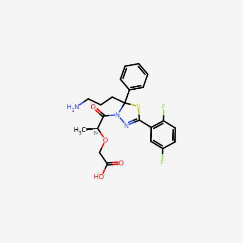 C[C@H](OCC(=O)O)C(=O)N1N=C(c2cc(F)ccc2F)SC1(CCCN)c1ccccc1